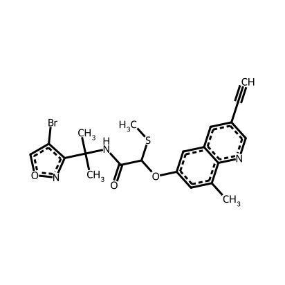 C#Cc1cnc2c(C)cc(OC(SC)C(=O)NC(C)(C)c3nocc3Br)cc2c1